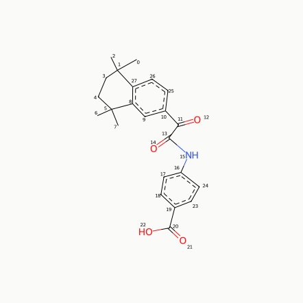 CC1(C)CCC(C)(C)c2cc(C(=O)C(=O)Nc3ccc(C(=O)O)cc3)ccc21